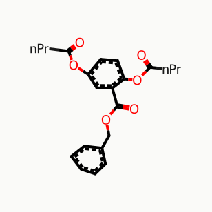 CCCC(=O)Oc1ccc(OC(=O)CCC)c(C(=O)OCc2ccccc2)c1